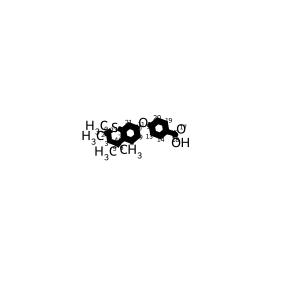 CC1(C)CC(C)(C)c2ccc(Oc3ccc(C(=O)O)cc3)cc2S1